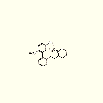 CC(=O)Oc1ccc(C)cc1-c1ccccc1CCC1CCCCN1C